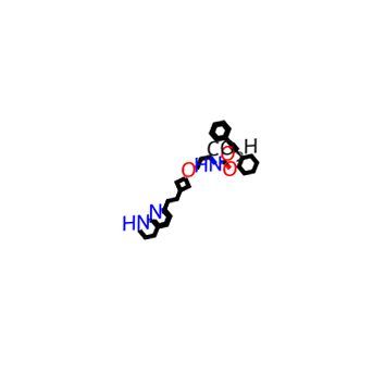 O=C(N[C@@H](CCOC1CC(CCc2ccc3c(n2)NCCC3)C1)C(=O)O)O[C@H]1CCCC[C@@H]1C#Cc1ccccc1